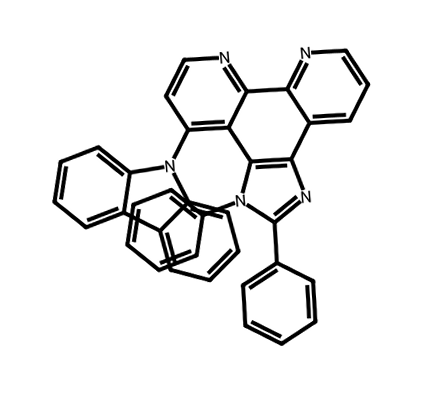 c1ccc(-c2nc3c4cccnc4c4nccc(-n5c6ccccc6c6ccccc65)c4c3n2-c2ccccc2)cc1